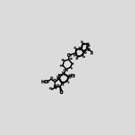 CCc1cc2c(nc1N1CCC(Oc3ccc4c(cnn4C)c3)CC1)[C@H](CO)N(C)C2=O